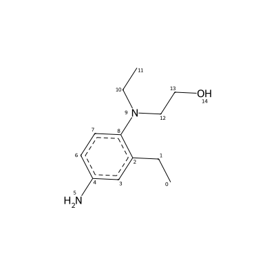 CCc1cc(N)ccc1N(CC)CCO